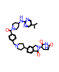 CC(C)c1cnc(NC2CCN(C(=O)c3ccc(CN4CCC(c5ccc6c(c5)CN(C5CCC(=O)NC5=O)C6=O)CC4)cc3)CC2)nc1